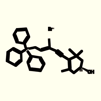 CC(C#CC1=C(C)C[C@@H](O)CC1(C)C)=CC[P+](c1ccccc1)(c1ccccc1)c1ccccc1.[Br-]